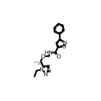 CCn1nncc1[C@H](C)OCNC(=O)c1cc(-c2ccccc2)no1